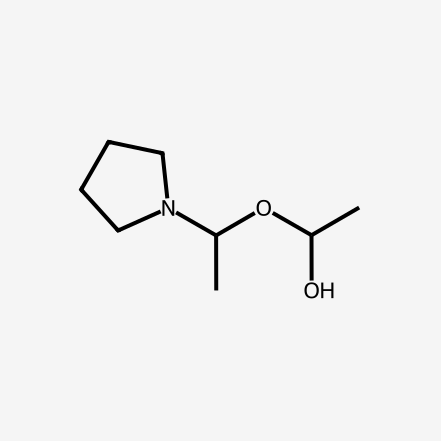 CC(O)OC(C)N1CCCC1